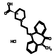 CN1C(=O)c2ccccc2N(CCCN2CCC[C@@H](C(=O)O)C2)c2ccccc21.Cl